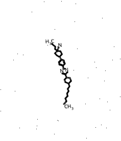 CCCCCCCCCC1CCC(c2cnc(-c3ccc(C4CCC(C#N)(CCCC)CC4)cc3)nc2)CC1